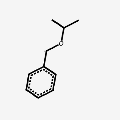 CC(C)O[CH]c1ccccc1